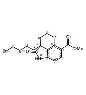 COC(=O)c1ccc2c3c1CCCC3(CCCCBr)C(=O)N2